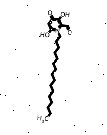 CCCCCCCCCCCCCCCCn1c(O)cc(=O)c(O)c1C=O